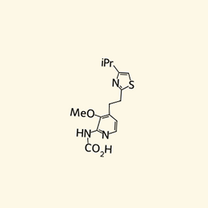 COc1c(CCc2nc(C(C)C)cs2)ccnc1NC(=O)O